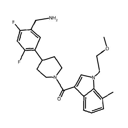 COCCn1cc(C(=O)N2CCC(c3cc(CN)c(F)cc3F)CC2)c2cccc(C)c21